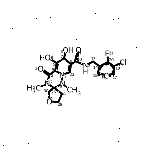 CN1C(=O)C2=C(O)C(O)C(C(=O)NCc3cccc(Cl)c3F)=CN2N(C)C12CCOC2